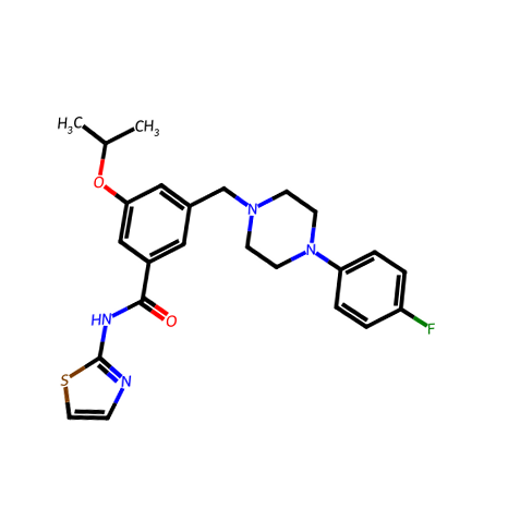 CC(C)Oc1cc(CN2CCN(c3ccc(F)cc3)CC2)cc(C(=O)Nc2nccs2)c1